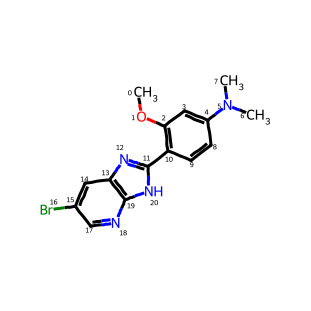 COc1cc(N(C)C)ccc1-c1nc2cc(Br)cnc2[nH]1